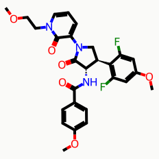 COCCn1cccc(N2C[C@@H](c3c(F)cc(OC)cc3F)[C@H](NC(=O)c3ccc(OC)cc3)C2=O)c1=O